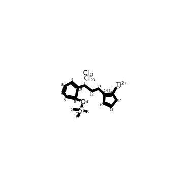 C[Si](C)(C)Oc1ccccc1CCCC1=[C]([Ti+2])CC=C1.[Cl-].[Cl-]